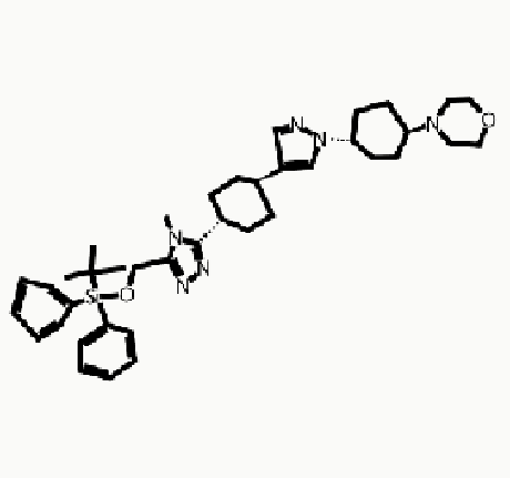 Cn1c(CO[Si](c2ccccc2)(c2ccccc2)C(C)(C)C)nnc1[C@H]1CC[C@H](c2cnn([C@H]3CC[C@H](N4CCOCC4)CC3)c2)CC1